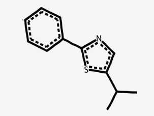 CC(C)c1cnc(-c2cc[c]cc2)s1